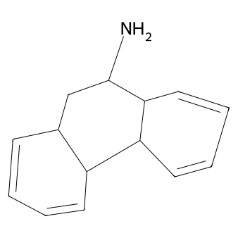 NC1CC2C=CC=CC2C2C=CC=CC12